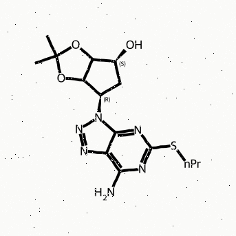 CCCSc1nc(N)c2nnn([C@@H]3C[C@H](O)C4OC(C)(C)OC43)c2n1